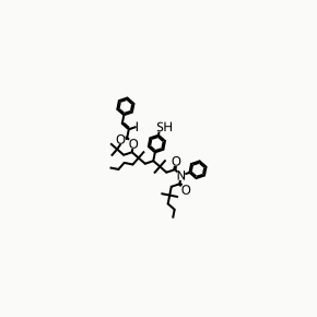 CCCCC(C)(CC(c1ccc(S)cc1)C(C)(C)CC(=O)N(C(=O)CC(C)(C)CCC)c1ccccc1)C(CC(C)(C)C)OC(=O)C(I)=Cc1ccccc1